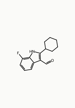 O=Cc1c(C2CCCCC2)[nH]c2c(F)cccc12